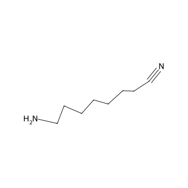 N#CCCCCCCCN